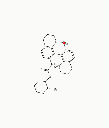 CC(C)[C@@H]1CCCCC1OC(=O)Oc1ccc2c(c1-c1c(O)ccc3c1N(C)CCC3)N(C)CCC2